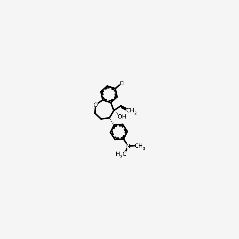 C=C[C@]1(O)c2cc(Cl)ccc2OCC[C@H]1c1ccc(N(C)C)cc1